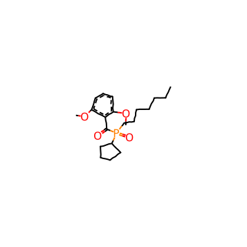 CCCCCCCP(=O)(C(=O)c1c(OC)cccc1OC)C1CCCC1